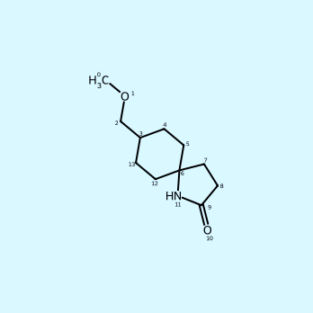 COCC1CCC2(CCC(=O)N2)CC1